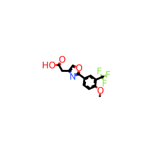 COc1ccc(-c2nc(CC(=O)O)co2)cc1C(F)(F)F